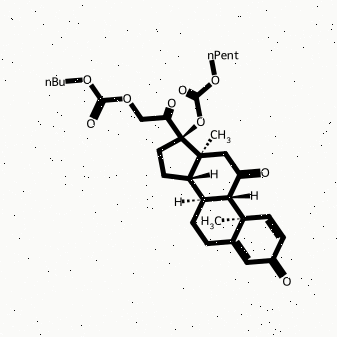 CCCCCOC(=O)O[C@]1(C(=O)COC(=O)OCCCC)CC[C@H]2[C@@H]3CCC4=CC(=O)C=C[C@]4(C)[C@H]3C(=O)C[C@@]21C